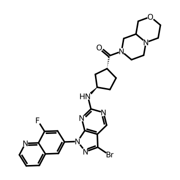 O=C([C@@H]1CC[C@@H](Nc2ncc3c(Br)nn(-c4cc(F)c5ncccc5c4)c3n2)C1)N1CCN2CCOCC2C1